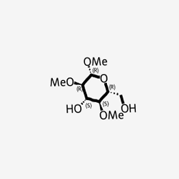 CO[C@@H]1O[C@H](CO)[C@@H](OC)[C@H](O)[C@H]1OC